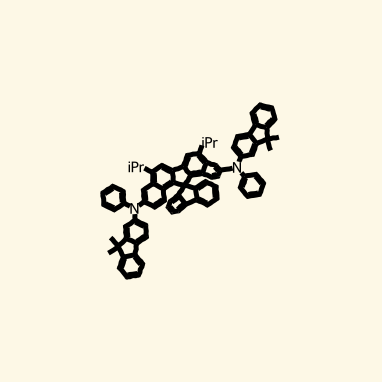 CC(C)c1cc2c(c3ccc(N(c4ccccc4)c4ccc5c(c4)C(C)(C)c4ccccc4-5)cc13)C1(c3ccccc3-c3ccccc31)c1c-2cc(C(C)C)c2cc(N(c3ccccc3)c3ccc4c(c3)C(C)(C)c3ccccc3-4)ccc12